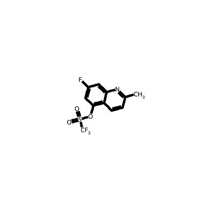 Cc1ccc2c(OS(=O)(=O)C(F)(F)F)cc(F)cc2n1